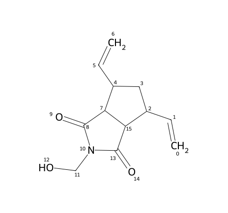 C=CC1CC(C=C)C2C(=O)N(CO)C(=O)C12